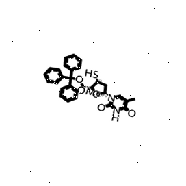 COC(OC(c1ccccc1)(c1ccccc1)c1ccccc1)[C@H]1O[C@@H](n2cc(C)c(=O)[nH]c2=O)C[C@@H]1S